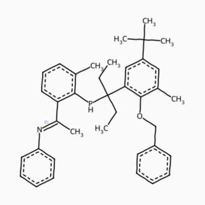 CCC(CC)(Pc1c(C)cccc1/C(C)=N/c1ccccc1)c1cc(C(C)(C)C)cc(C)c1OCc1ccccc1